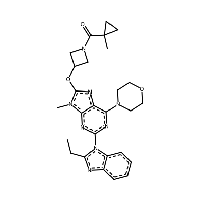 CCc1nc2ccccc2n1-c1nc(N2CCOCC2)c2nc(OC3CN(C(=O)C4(C)CC4)C3)n(C)c2n1